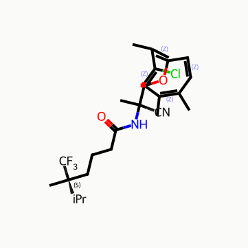 CC1=C(C)/C=C(Cl)/C(C)=C(OCC(C)(C#N)NC(=O)CCC[C@@](C)(C(C)C)C(F)(F)F)/C=C\1